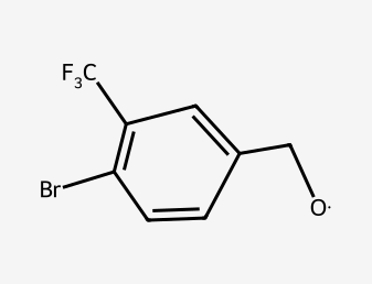 [O]Cc1ccc(Br)c(C(F)(F)F)c1